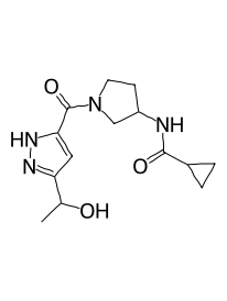 CC(O)c1cc(C(=O)N2CCC(NC(=O)C3CC3)C2)[nH]n1